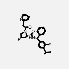 CC(C)c1ccc([C@@H](NC(=O)[C@@H]2C[C@@H](F)CN2C(=O)Cc2ccccn2)c2ccccc2)cc1F